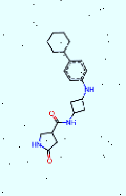 O=C1CC(C(=O)NC2CC(Nc3ccc(C4CCCCC4)cc3)C2)CN1